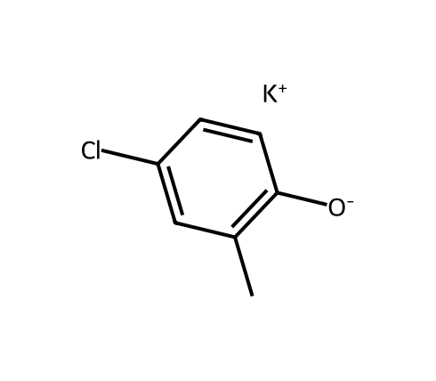 Cc1cc(Cl)ccc1[O-].[K+]